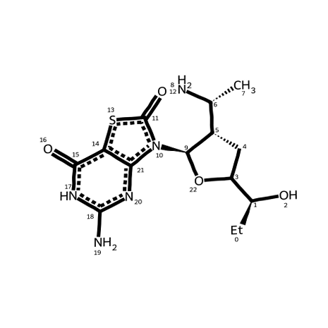 CC[C@H](O)C1C[C@@H]([C@@H](C)N)[C@H](n2c(=O)sc3c(=O)[nH]c(N)nc32)O1